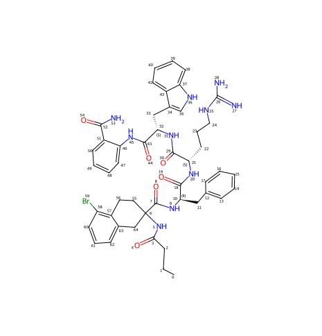 CCCC(=O)NC1(C(=O)N[C@H](Cc2ccccc2)C(=O)N[C@@H](CCCNC(=N)N)C(=O)N[C@@H](Cc2c[nH]c3ccccc23)C(=O)Nc2ccccc2C(N)=O)CCc2c(Br)cccc2C1